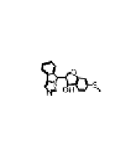 CSc1ccc2c(c1)OCC(C1c3ccccc3-c3cncn31)C2O